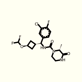 C[C@@H]1C(=O)NCCN1C(=O)NC(c1ccc(F)c(Cl)c1)[C@H]1C[C@H](OC(F)F)C1